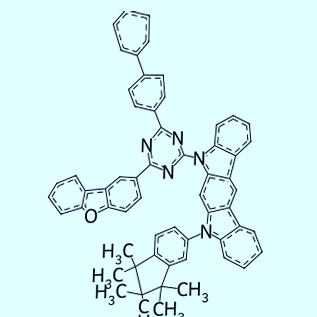 CC1(C)c2ccc(-n3c4ccccc4c4cc5c6ccccc6n(-c6nc(-c7ccc(-c8ccccc8)cc7)nc(-c7ccc8oc9ccccc9c8c7)n6)c5cc43)cc2C(C)(C)C1(C)C